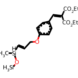 CCOC(=O)C(=Cc1ccc(OCC=C[SiH](C)O[SiH3])cc1)C(=O)OCC